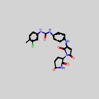 Cc1ccc(NC(=O)Nc2ccc(NC3=CC(=O)N(C4CCC(=O)NC4=O)C3=O)cc2)cc1Cl